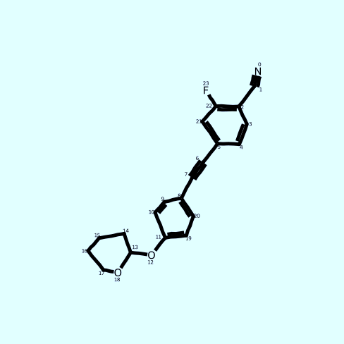 N#Cc1ccc(C#Cc2ccc(OC3CCCCO3)cc2)cc1F